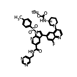 Cc1ccc(S(=O)(=O)n2cc(-c3cc(F)c4nccc(N5CCC[C@@H](NC(=O)OC(C)(C)C)C5)c4c3)c3cc(C(=O)NCc4cncnc4)cnc32)cc1